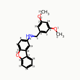 COc1cc(CNc2ccc3oc4ccccc4c3c2)cc(OC)c1